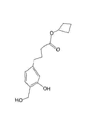 O=C(CCCc1ccc(CO)c(O)c1)OC1CCC1